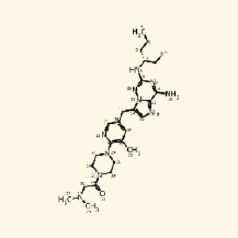 CCC[C@H](CF)Nc1nc(N)c2ncc(Cc3cnc(N4CCN(C(=O)CN(C)C)CC4)c(C)c3)n2n1